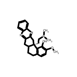 COc1ccc2c(c1O)[C@]1(CCN(C)C)Cc3nc4ccccc4nc3CC1CC2